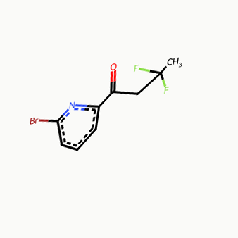 CC(F)(F)CC(=O)c1cccc(Br)n1